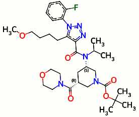 COCCCCc1c(C(=O)N(C(C)C)[C@H]2C[C@@H](C(=O)N3CCOCC3)CN(C(=O)OC(C)(C)C)C2)nnn1-c1ccccc1F